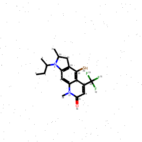 CCC(C)N1c2cc3c(c(C(F)(F)F)cc(=O)n3C)c(S)c2CC1C